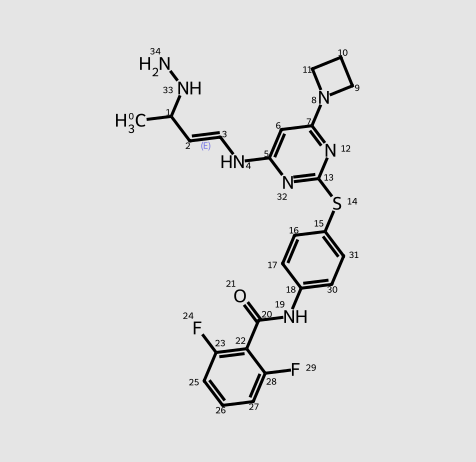 CC(/C=C/Nc1cc(N2CCC2)nc(Sc2ccc(NC(=O)c3c(F)cccc3F)cc2)n1)NN